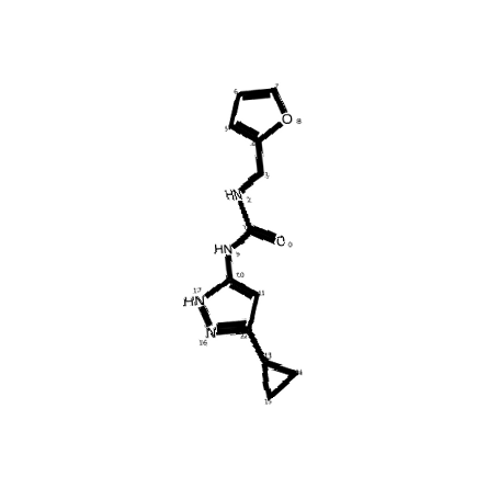 O=C(NCc1ccco1)Nc1cc(C2CC2)n[nH]1